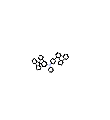 c1ccc(N(c2ccc(-c3cccc4c5ccccc5c5ccccc5c34)cc2)c2ccc3c(c2)-c2ccccc2C32c3ccccc3-c3ccccc32)cc1